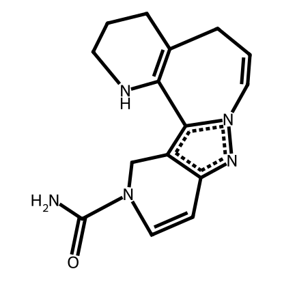 NC(=O)N1C=Cc2nn3c(c2C1)C1=C(CC=C3)CCCN1